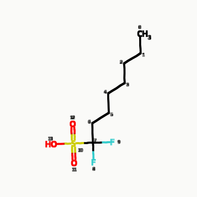 CCCCCCCC(F)(F)S(=O)(=O)O